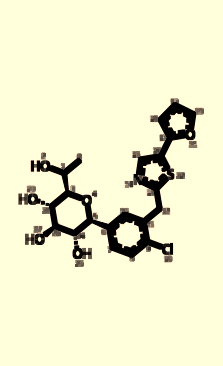 CC(O)[C@H]1O[C@@H](c2ccc(Cl)c(Cc3ncc(-c4ccco4)s3)c2)[C@H](O)[C@@H](O)[C@@H]1O